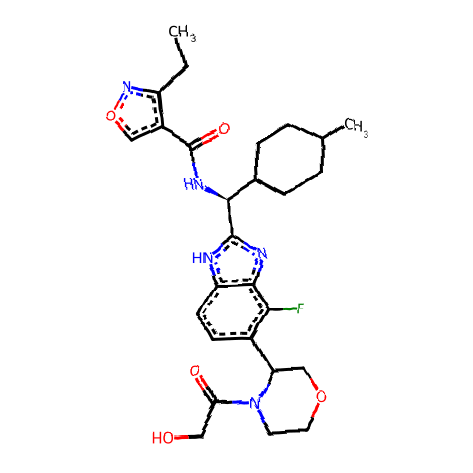 CCc1nocc1C(=O)N[C@H](c1nc2c(F)c(C3COCCN3C(=O)CO)ccc2[nH]1)C1CCC(C)CC1